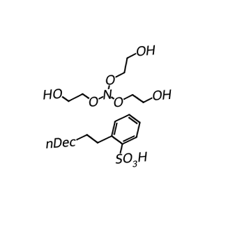 CCCCCCCCCCCCc1ccccc1S(=O)(=O)O.OCCON(OCCO)OCCO